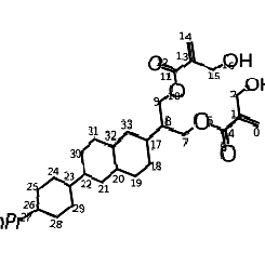 C=C(CO)C(=O)OCC(COC(=O)C(=C)CO)C1CCC2CC(C3CCC(CCC)CC3)CCC2C1